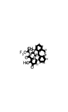 CCOc1cccc2c1[C@@H](N1CN([C@H](C)C(F)(F)F)C(=O)c3c(O)c(=O)ccn31)c1ccccc1SC2